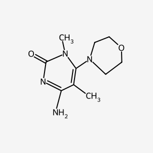 Cc1c(N)nc(=O)n(C)c1N1CCOCC1